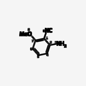 [C-]#[N+]c1c(N)cccc1OC